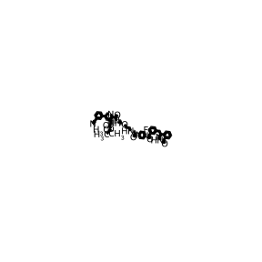 CC(C)(C)OC(=O)Nc1cc(-c2cccc(C#N)c2)cnc1C(=O)NCCOCCNCC(=O)N1CCN(C(=O)c2cc(Cc3n[nH]c(=O)c4ccccc34)ccc2F)CC1